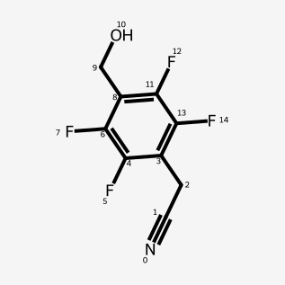 N#CCc1c(F)c(F)c(CO)c(F)c1F